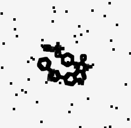 Cn1c(=O)n(C2CCC(O[Si](C)(C)C(C)(C)C)CC2)c2c3cc(-c4cnn(-c5ccccc5)c4)ccc3ncc21